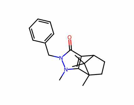 Cn1c2c(c(=O)n1Cc1ccccc1)C1CCC2(C)C1(C)C